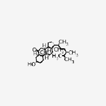 CC(C)C(C)/C=C/[C@@H](C)[C@H]1CC[C@H]2[C@@H]3CC(=O)[C@H]4C[C@H](O)CC[C@]4(C)[C@H]3CC[C@]12C